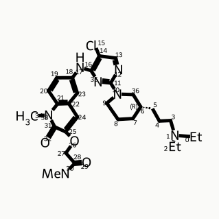 CCN(CC)CCC[C@@H]1CCCN(c2ncc(Cl)c(Nc3ccc4c(c3)cc(OCC(=O)NC)c(=O)n4C)n2)C1